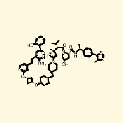 Cc1ncsc1-c1ccc([C@H](C)NC(=O)[C@@H]2C[C@@H](O)CN2C(=O)[C@H](c2cc(N3CCC(CN4CCC(O[C@H]5C[C@H](Oc6cc(/C=C/c7cc(-c8ccccc8O)nnc7N)ccn6)C5)CC4)CC3)no2)C(C)C)cc1